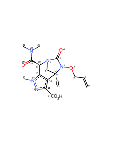 C=CCON1C(=O)N2C[C@@H]1c1c(C(=O)O)nn(C)c1[C@H]2C(=O)N(C)C